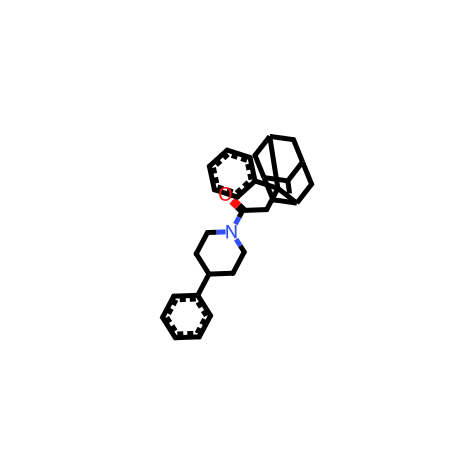 CC1C2CC3CC1CC(C2)C3(CC(=O)N1CCC(c2ccccc2)CC1)c1ccccc1